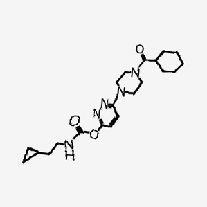 O=C(NCCC1CC1)Oc1ccc(N2CCN(C(=O)C3CCCCC3)CC2)nn1